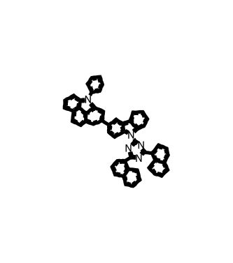 c1ccc(-n2c3cccc4ccc5cc(-c6ccc7c(c6)c6ccccc6n7-c6nc(-c7cccc8ccccc78)nc(-c7cccc8ccccc78)n6)cc2c5c43)cc1